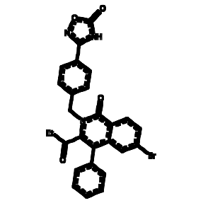 CCC(=O)c1c(-c2ccccc2)c2cc(Br)ccc2c(=O)n1Cc1ccc(-c2noc(=O)[nH]2)cc1